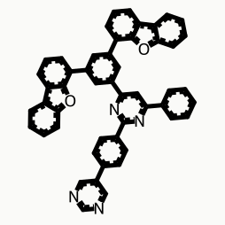 c1ccc(-c2cc(-c3cc(-c4cccc5c4oc4ccccc45)cc(-c4cccc5c4oc4ccccc45)c3)nc(-c3ccc(-c4cncnc4)cc3)n2)cc1